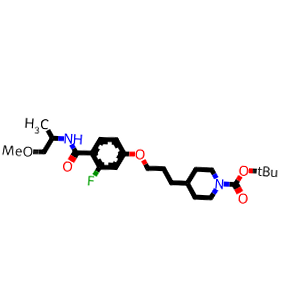 COCC(C)NC(=O)c1ccc(OCCCC2CCN(C(=O)OC(C)(C)C)CC2)cc1F